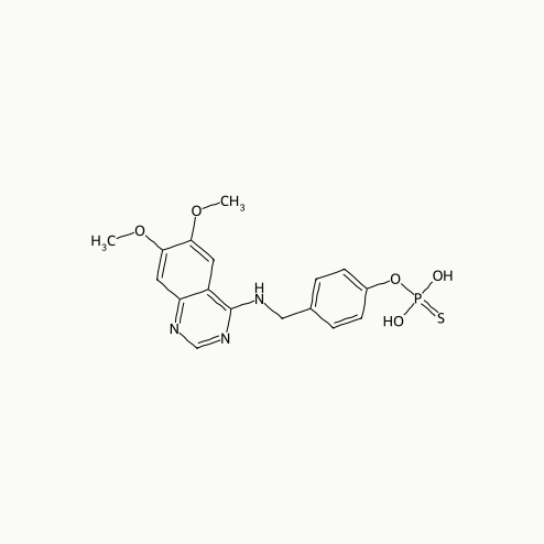 COc1cc2ncnc(NCc3ccc(OP(O)(O)=S)cc3)c2cc1OC